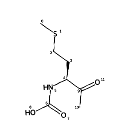 CSCC[C@H](NC(=O)O)C(C)=O